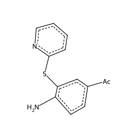 CC(=O)c1ccc(N)c(Sc2ccccn2)c1